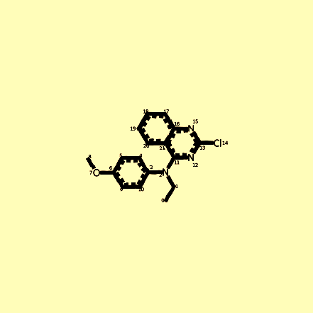 CCN(c1ccc(OC)cc1)c1nc(Cl)nc2ccccc12